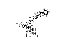 COc1nc(NCCOC(=O)NCc2ccccc2)nc(NC(C)C)n1